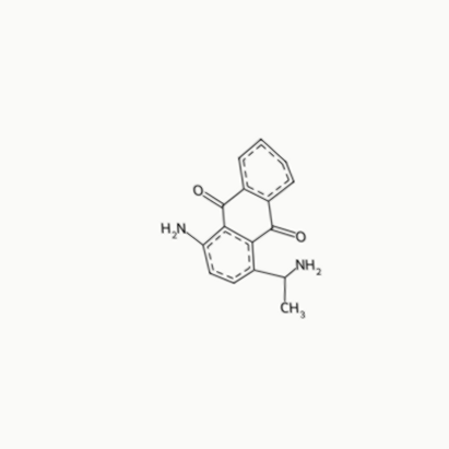 CC(N)c1ccc(N)c2c1C(=O)c1ccccc1C2=O